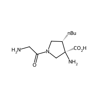 CCCC[C@H]1CN(C(=O)CN)C[C@@]1(N)C(=O)O